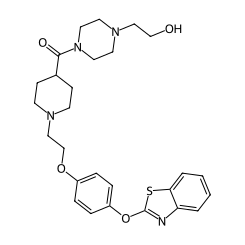 O=C(C1CCN(CCOc2ccc(Oc3nc4ccccc4s3)cc2)CC1)N1CCN(CCO)CC1